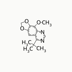 COc1c2c(cc3c(C(C)(C)C)ncnc13)OCO2